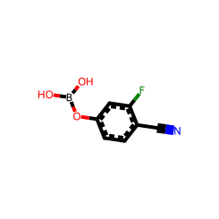 N#Cc1ccc(OB(O)O)cc1F